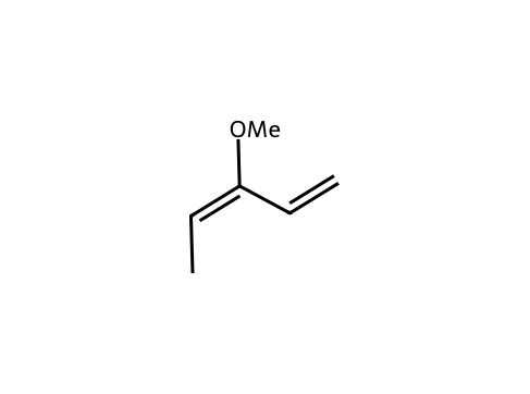 C=C/C(=C\C)OC